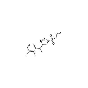 C=CCS(=O)(=O)n1cnc(C(C)c2cccc(C)c2C)c1